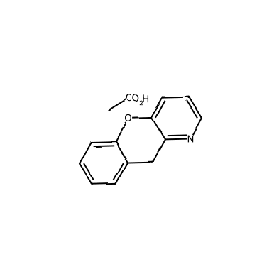 CC(=O)O.c1ccc2c(c1)Cc1ncccc1O2